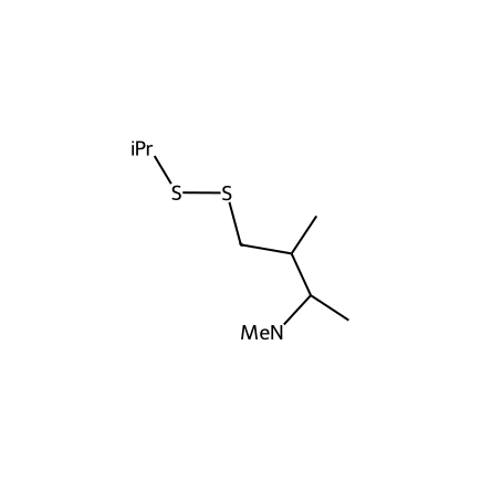 CNC(C)C(C)CSSC(C)C